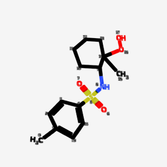 Cc1ccc(S(=O)(=O)NC2CCCCC2(C)OO)cc1